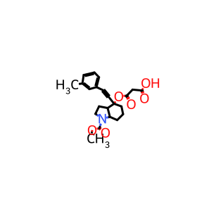 COC(=O)N1CCC2C1CCCC2(C#Cc1cccc(C)c1)OC(=O)CC(=O)O